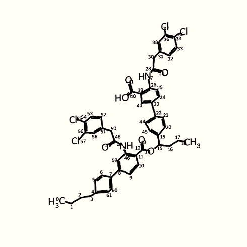 CCCCc1ccc(-c2ccc(C(=O)OC(CCC)c3ccc(-c4ccc(NC(=O)Cc5ccc(Cl)c(Cl)c5)c(C(=O)O)c4)cc3)c(NC(=O)Cc3ccc(Cl)c(Cl)c3)c2)cc1